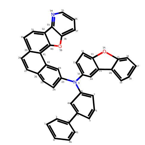 c1ccc(-c2cccc(N(c3ccc4oc5ccccc5c4c3)c3ccc4ccc5ccc6c7ncccc7oc6c5c4c3)c2)cc1